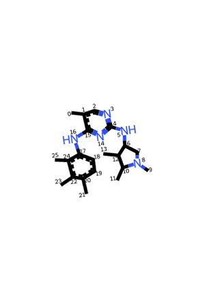 Cc1cnc(NC2CN(C)C(C)C2C)nc1Nc1ccc(C)c(C)c1C